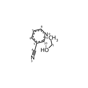 CCO.N#Cc1cccnc1